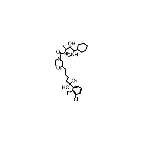 CNC(C1CCCCC1)[C@H](O)[C@H](C)NC(=O)N1CCO[C@H](CCCCC(O)(OC)c2cccc(Cl)c2F)C1